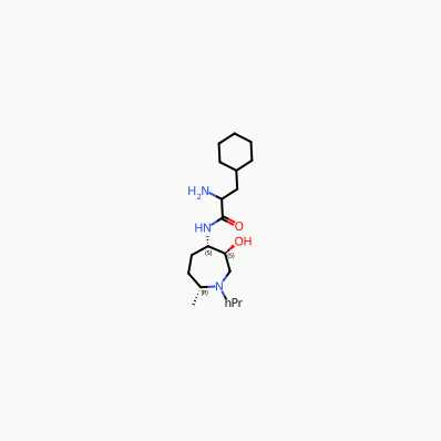 CCCN1C[C@H](O)[C@@H](NC(=O)C(N)CC2CCCCC2)CC[C@H]1C